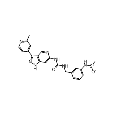 Cc1cc(-c2n[nH]c3cc(NC(=O)NCc4cccc(N[S+](C)[O-])c4)ncc23)ccn1